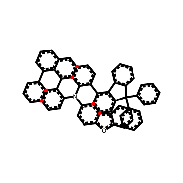 c1ccc(-c2cccc3cccc(-c4ccccc4N(c4ccc5oc6ccccc6c5c4)c4ccccc4-c4cccc5c4-c4ccccc4C5(c4ccccc4)c4ccccc4)c23)cc1